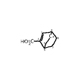 O=C(O)C1=CC2CCC1CC2